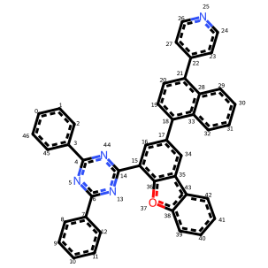 c1ccc(-c2nc(-c3ccccc3)nc(-c3cc(-c4ccc(-c5ccncc5)c5ccccc45)cc4c3oc3ccccc34)n2)cc1